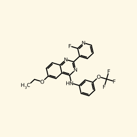 CCOc1ccc2nc(-c3cccnc3F)nc(Nc3cccc(OC(F)(F)F)c3)c2c1